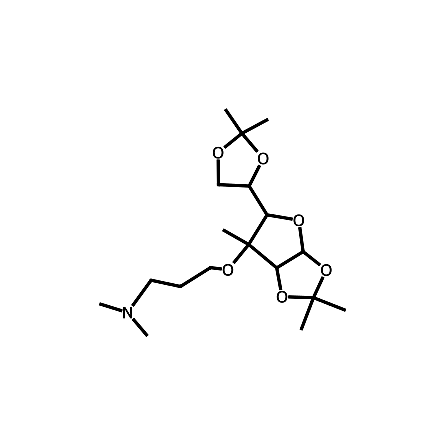 CN(C)CCCOC1(C)C(C2COC(C)(C)O2)OC2OC(C)(C)OC21